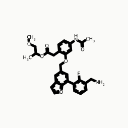 COCC(C)OC(=O)Cc1ccc(NC(C)=O)cc1OCc1cc(-c2cccc(CN)c2F)c2occc2c1